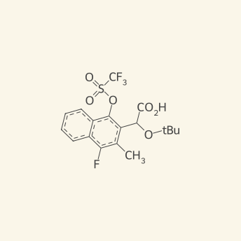 Cc1c(C(OC(C)(C)C)C(=O)O)c(OS(=O)(=O)C(F)(F)F)c2ccccc2c1F